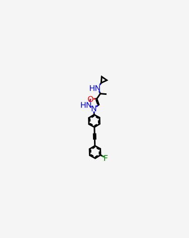 CC(NC1CC1)C1=CN(c2ccc(C#Cc3cccc(F)c3)cc2)NO1